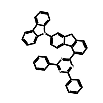 c1ccc(-c2nc(-c3ccccc3)nc(-c3cccc4c3-c3ccc(-n5c6ccccc6c6ccccc65)cc3C4)n2)cc1